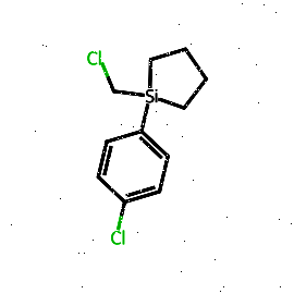 ClC[Si]1(c2ccc(Cl)cc2)CCCC1